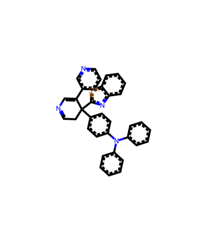 C1=NC=C(c2cccnc2)C(c2ccc(N(c3ccccc3)c3ccccc3)cc2)(c2nc3ccccc3s2)C1